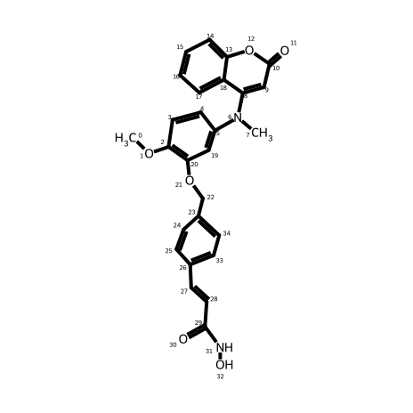 COc1ccc(N(C)c2cc(=O)oc3ccccc23)cc1OCc1ccc(/C=C/C(=O)NO)cc1